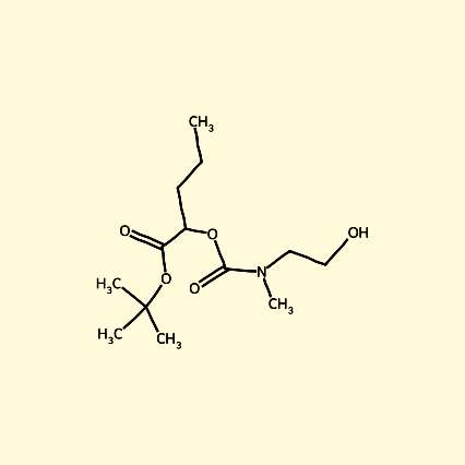 CCCC(OC(=O)N(C)CCO)C(=O)OC(C)(C)C